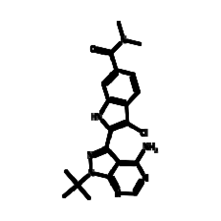 CN(C)C(=O)c1ccc2c(Cl)c(-c3nn(C(C)(C)C)c4ncnc(N)c34)[nH]c2c1